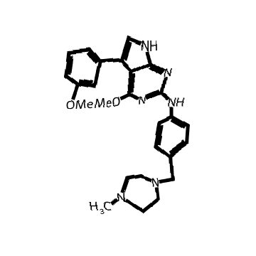 COc1cccc(-c2c[nH]c3nc(Nc4ccc(CN5CCN(C)CC5)cc4)nc(OC)c23)c1